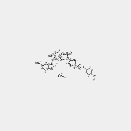 COc1ccc(COC(C)(C)c2cnc(N3C[C@@]4(CC[C@@H](O)[C@](C)(Cn5cnc6ccc(C#N)cc65)C4)OC3=O)cn2)cc1.[Cu][I]